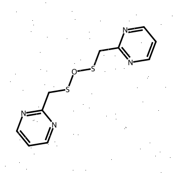 c1cnc(CSOSCc2ncccn2)nc1